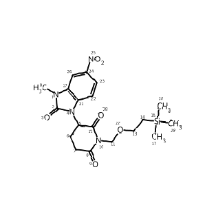 Cn1c(=O)n(C2CCC(=O)N(COCC[Si](C)(C)C)C2=O)c2ccc([N+](=O)[O-])cc21